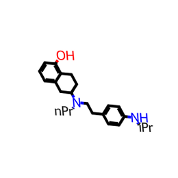 CCCN(CCc1ccc(NC(C)C)cc1)C1CCc2c(O)cccc2C1